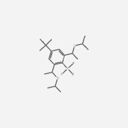 CC(C)OC(C)c1cc(C(C)(C)C)cc(C(C)OC(C)C)c1S(F)(F)F